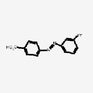 CC(C)c1cccc(/N=N/c2ccc(C(=O)O)cc2)c1